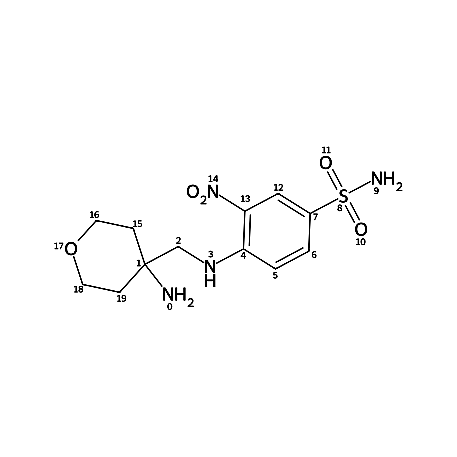 NC1(CNc2ccc(S(N)(=O)=O)cc2[N+](=O)[O-])CCOCC1